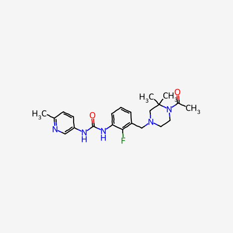 CC(=O)N1CCN(Cc2cccc(NC(=O)Nc3ccc(C)nc3)c2F)CC1(C)C